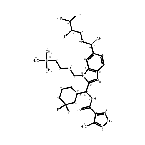 Cc1nonc1C(=O)N[C@H](c1nc2ccc([C@@H](C)NCC(F)C(F)F)cc2n1COCC[Si](C)(C)C)[C@@H]1CCCC(F)(F)C1